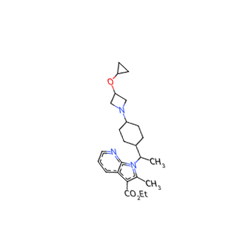 CCOC(=O)c1c(C)n(C(C)C2CCC(N3CC(OC4CC4)C3)CC2)c2ncccc12